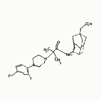 CC(C)(C(=O)NC1C2CC3CC1CC(OC(=O)O)(C3)C2)N1CCN(c2ccc(F)cc2F)CC1